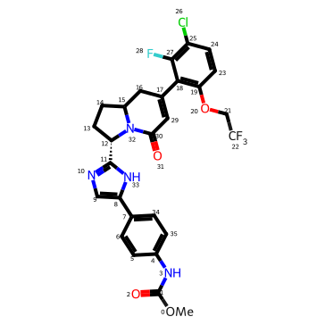 COC(=O)Nc1ccc(-c2cnc([C@@H]3CCC4CC(c5c(OCC(F)(F)F)ccc(Cl)c5F)=CC(=O)N43)[nH]2)cc1